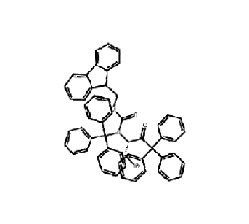 CC(C)C[C@@H](C(=O)C(c1ccccc1)(c1ccccc1)c1ccccc1)N(C(=O)OCC1c2ccccc2-c2ccccc21)C(c1ccccc1)(c1ccccc1)c1ccccc1